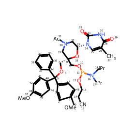 COc1ccc(C(OC[C@]2(COP(OCCC#N)N(C(C)C)C(C)C)CN(C(C)=O)C[C@H](n3cc(C)c(=O)[nH]c3=O)O2)(c2ccccc2)c2ccc(OC)cc2)cc1